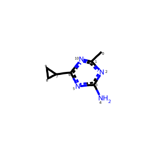 Cc1nc(N)nc(C2CC2)n1